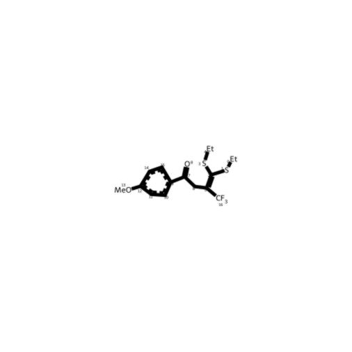 CCSC(SCC)=C(CC(=O)c1ccc(OC)cc1)C(F)(F)F